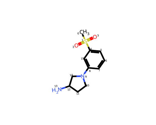 CS(=O)(=O)c1cccc(N2CCC(N)C2)c1